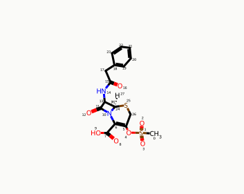 CS(=O)(=O)OC1=C(C(=O)O)N2C(=O)C(NC(=O)Cc3ccccc3)[C@H]2SC1